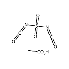 CC(=O)O.O=C=NS(=O)(=O)N=C=O